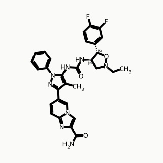 CCN1C[C@@H](NC(=O)Nc2c(C)c(-c3ccc4nc(C(N)=O)cn4c3)nn2-c2ccccc2)[C@H](c2ccc(F)c(F)c2)O1